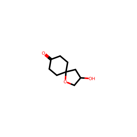 O=C1CCC2(CC1)CC(O)CO2